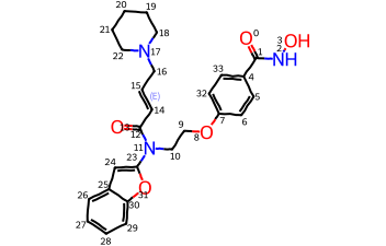 O=C(NO)c1ccc(OCCN(C(=O)/C=C/CN2CCCCC2)c2cc3ccccc3o2)cc1